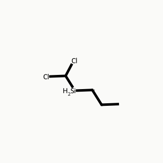 CC[CH][SiH2]C(Cl)Cl